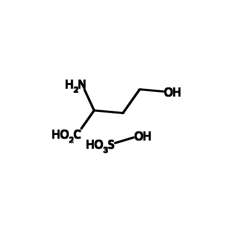 NC(CCO)C(=O)O.O=S(=O)(O)O